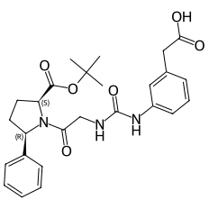 CC(C)(C)OC(=O)[C@@H]1CC[C@H](c2ccccc2)N1C(=O)CNC(=O)Nc1cccc(CC(=O)O)c1